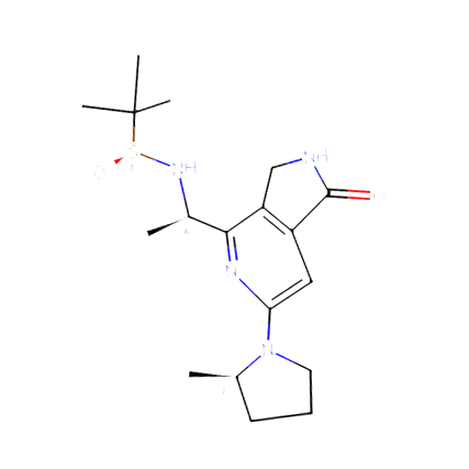 C[C@@H]1CCCN1c1cc2c(c([C@@H](C)N[S@@+]([O-])C(C)(C)C)n1)CNC2=O